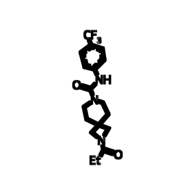 CCC(=O)N1CC2(CCN(C(=O)Nc3ccc(C(F)(F)F)cc3)CC2)C1